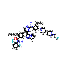 COc1cc(N2CCC(C3CCN(CCF)CC3)CC2)ccc1Nc1nccc(C2C(c3ccc(OC)c(C(=O)Nc4c(F)cccc4F)c3)N=C3C=CC=CN32)n1